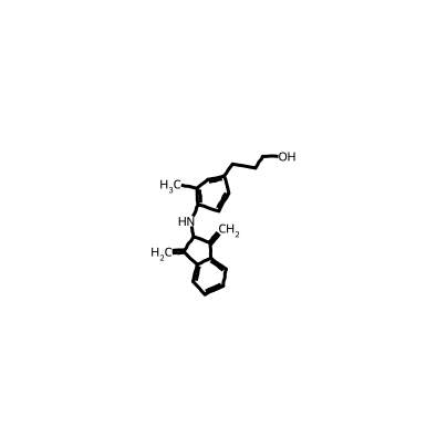 C=C1c2ccccc2C(=C)C1Nc1ccc(CCCO)cc1C